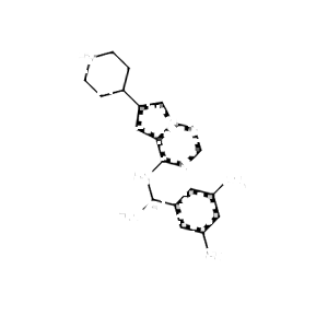 Cc1cc(N)cc([C@@H](C)Nc2ncnn3cc(C4CCNCC4)cc23)c1